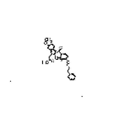 COc1ccc2c(c1)c(CC(=O)O)c(C)n2C(=O)c1ccc(OCCCc2ccccc2)cc1